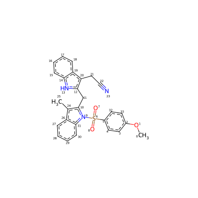 COc1ccc(S(=O)(=O)n2c(Cc3[nH]c4ccccc4c3CC#N)c(C)c3ccccc32)cc1